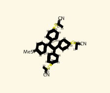 CSc1ccc(C(=C(c2ccc(SC(C)C#N)cc2)c2ccc(SC(C)C#N)cc2)c2ccc(SC(C)C#N)cc2)cc1